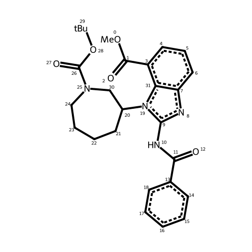 COC(=O)c1cccc2nc(NC(=O)c3ccccc3)n(C3CCCCN(C(=O)OC(C)(C)C)C3)c12